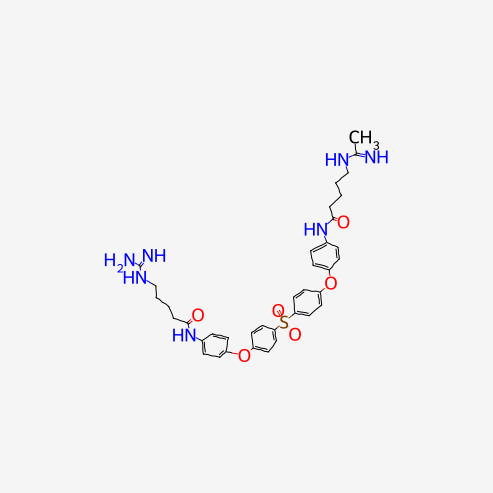 CC(=N)NCCCCC(=O)Nc1ccc(Oc2ccc(S(=O)(=O)c3ccc(Oc4ccc(NC(=O)CCCCNC(=N)N)cc4)cc3)cc2)cc1